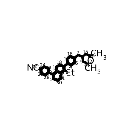 CCc1c(-c2ccc(CC3CC(C)O[C@H](C)C3)cc2)ccc2c(-c3ccc(C#N)cc3)cccc12